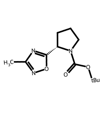 Cc1noc([C@@H]2CCCN2C(=O)OC(C)(C)C)n1